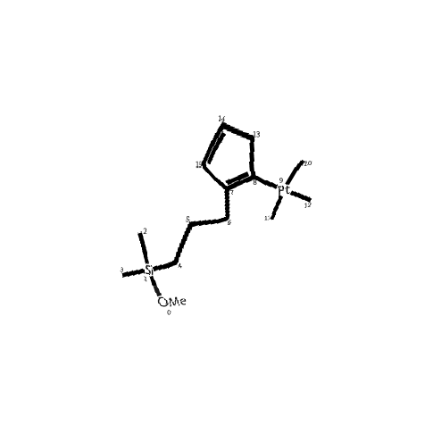 CO[Si](C)(C)CCCC1=[C]([Pt]([CH3])([CH3])[CH3])CC=C1